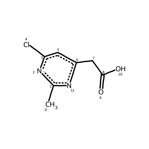 Cc1nc(Cl)cc(CC(=O)O)n1